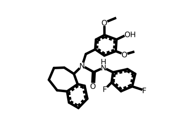 COc1cc(CN(C(=O)Nc2ccc(F)cc2F)C2CCCCc3ccccc32)cc(OC)c1O